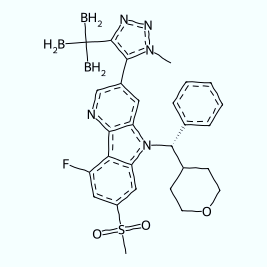 BC(B)(B)c1nnn(C)c1-c1cnc2c3c(F)cc(S(C)(=O)=O)cc3n([C@H](c3ccccc3)C3CCOCC3)c2c1